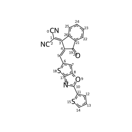 N#CC(C#N)=C1/C(=C/c2cc3oc(-c4cccs4)nc3s2)C(=O)c2ccccc21